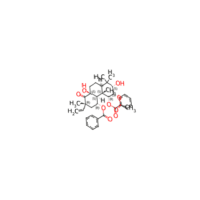 C=C[C@@]1(C)C[C@@H](OC(=O)c2ccccc2)[C@@H]2[C@@]3(C)[C@@H](OC(=O)c4ccccc4)[C@@H](OC(C)=O)[C@@H](O)C(C)(C)[C@@H]3CC[C@@]2(O)C1=O